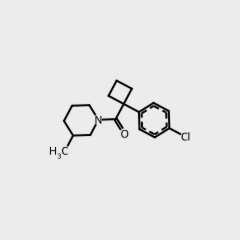 CC1CCCN(C(=O)C2(c3ccc(Cl)cc3)CCC2)C1